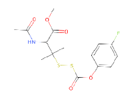 COC(=O)C(NC(C)=O)C(C)(C)SSC(=O)Oc1ccc(F)cc1